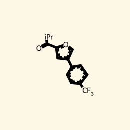 CC(C)C(=O)c1cc(-c2ccc(C(F)(F)F)cc2)co1